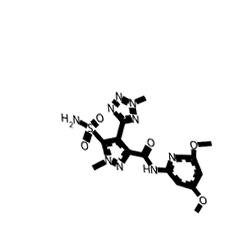 COc1cc(NC(=O)c2nn(C)c(S(N)(=O)=O)c2-c2nnn(C)n2)nc(OC)c1